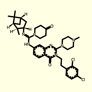 C[C@@H]1[C@@H](/N=C(/Nc2ccc3c(=O)n(CCc4ccc(Cl)cc4Cl)c(N4CCN(C)CC4)nc3c2)N2CCC(=O)CC2)C[C@@H]2C[C@H]1C2(C)C